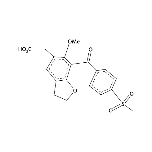 COc1c(CC(=O)O)cc2c(c1C(=O)c1ccc(S(C)(=O)=O)cc1)OCC2